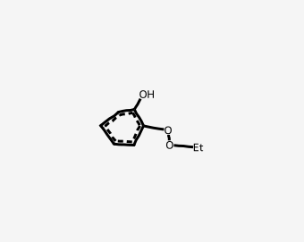 CCOOc1ccccc1O